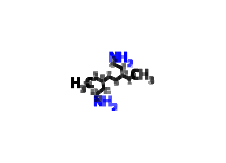 CCC(CCN)CCC(CC)CCN